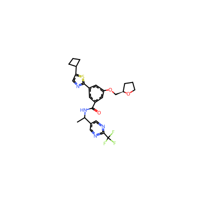 CC(NC(=O)c1cc(OC[C@H]2CCCO2)cc(-c2ncc(C3CCC3)s2)c1)c1cnc(C(F)(F)F)nc1